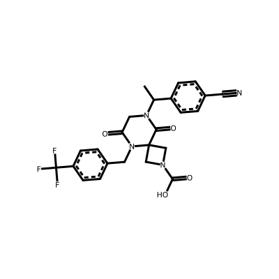 CC(c1ccc(C#N)cc1)N1CC(=O)N(Cc2ccc(C(F)(F)F)cc2)C2(CN(C(=O)O)C2)C1=O